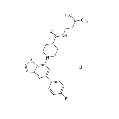 CN(C)CCNC(=O)C1CCN(c2cc(-c3ccc(F)cc3)nc3ccsc23)CC1.Cl